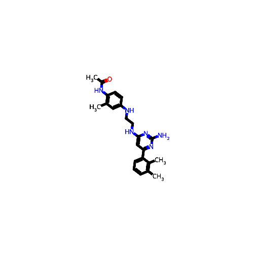 CC(=O)Nc1ccc(NCCNc2cc(-c3cccc(C)c3C)nc(N)n2)cc1C